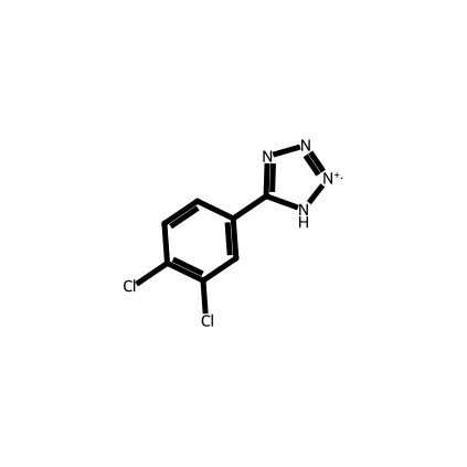 Clc1ccc(C2=NN=[N+]N2)cc1Cl